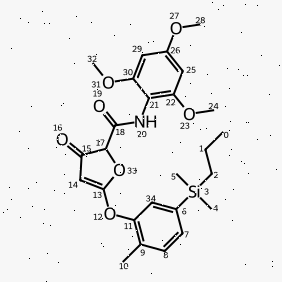 CCC[Si](C)(C)c1ccc(C)c(OC2=CC(=O)C(C(=O)Nc3c(OC)cc(OC)cc3OC)O2)c1